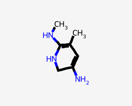 CNC1=C(C)C=C(N)CN1